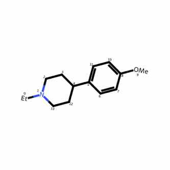 CCN1CCC(c2ccc(OC)cc2)CC1